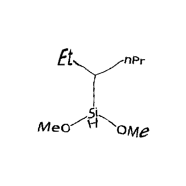 CCCC(CC)[SiH](OC)OC